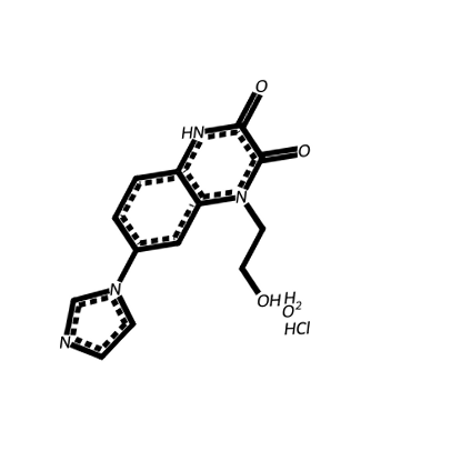 Cl.O.O=c1[nH]c2ccc(-n3ccnc3)cc2n(CCO)c1=O